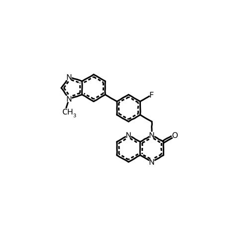 Cn1cnc2ccc(-c3ccc(Cn4c(=O)cnc5cccnc54)c(F)c3)cc21